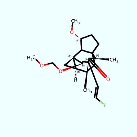 COCO[C@@H]1C[C@@](C)(C=CF)C(=O)[C@H](C)C23CC[C@H]4C[C@]41C2[C@H](OC)CC3